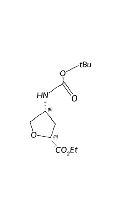 CCOC(=O)[C@H]1C[C@@H](NC(=O)OC(C)(C)C)CO1